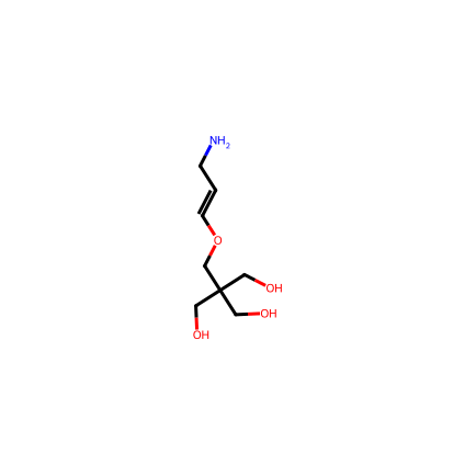 NCC=COCC(CO)(CO)CO